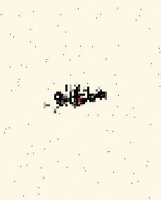 COc1ccccc1NC(=O)N1CCC(CC(=O)NO)(c2ccc(-c3ccc(-c4cnco4)cc3)s2)S(=O)(=O)CC1